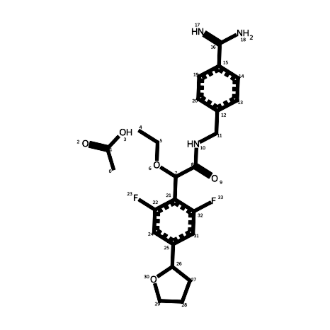 CC(=O)O.CCOC(C(=O)NCc1ccc(C(=N)N)cc1)c1c(F)cc(C2CCCO2)cc1F